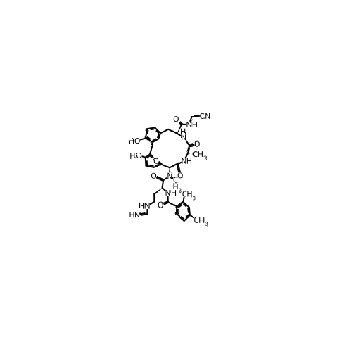 Cc1ccc(C(=O)N[C@@H](CCNC=N)C(=O)N(C)[C@@H]2C(=O)N[C@@H](C)C(=O)N[C@H](C(=O)NCC#N)Cc3ccc(O)c(c3)-c3cc2ccc3O)c(C)c1